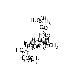 CC(C)[C@@H]1CC[C@]2(C(=O)NCCC(=O)OCC[Si](C)(C)C)CC[C@]3(C)[C@H](CC[C@@H]4[C@@]5(C)CCC(c6ccc(C(=O)O)c(CC[Si](C)(C)C)c6)C(C)(C)[C@@H]5CC[C@]43C)[C@@H]12